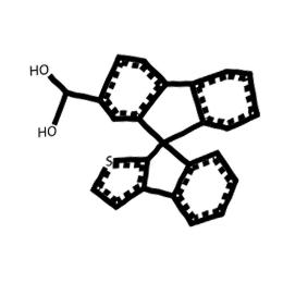 OC(O)c1ccc2c(c1)C1(c3ccccc3-2)c2ccccc2-c2ccsc21